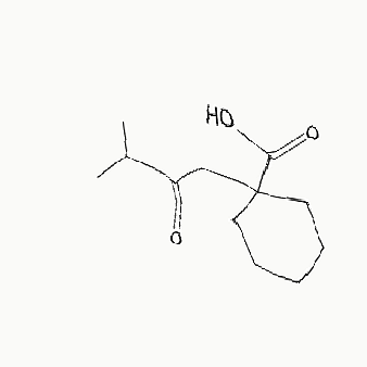 CC(C)C(=O)CC1(C(=O)O)CCCCC1